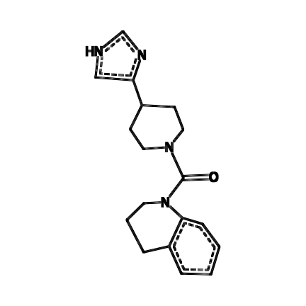 O=C(N1CCC(c2c[nH]cn2)CC1)N1CCCc2ccccc21